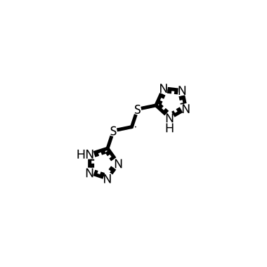 [CH](Sc1nnn[nH]1)Sc1nnn[nH]1